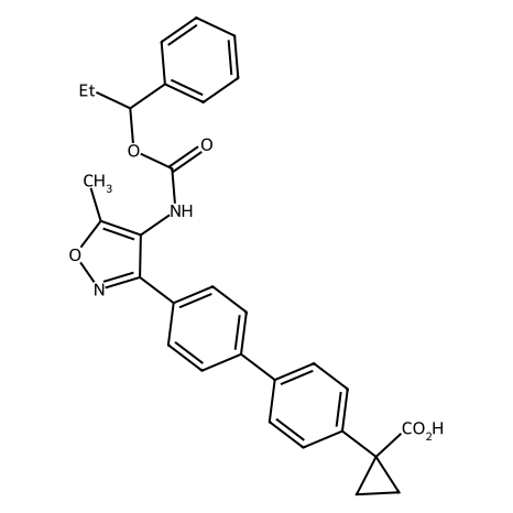 CCC(OC(=O)Nc1c(-c2ccc(-c3ccc(C4(C(=O)O)CC4)cc3)cc2)noc1C)c1ccccc1